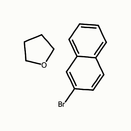 Brc1ccc2ccccc2c1.C1CCOC1